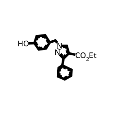 CCOC(=O)c1cn(Cc2ccc(O)cc2)nc1-c1ccccc1